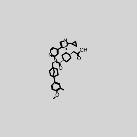 COc1ccc(C23CCC(CN(c4cc(-c5cnc(C6CC6)s5)ccn4)C(=O)[C@H]4CC[C@H](CC(=O)O)CC4)(CC2)CC3)cc1C